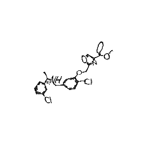 COC(=O)c1coc(COc2cc(CN[C@H](C)c3cccc(Cl)c3)ccc2Cl)n1